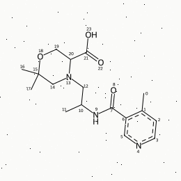 Cc1ccncc1C(=O)NC(C)CN1CC(C)(C)OCC1C(=O)O